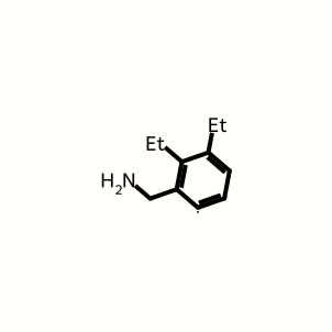 CCc1cc[c]c(CN)c1CC